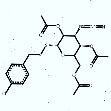 CC(=O)OCC1O[C@H](SCCc2ccc(Cl)cc2)C(OC(C)=O)[C@@H](N=[N+]=[N-])[C@H]1OC(C)=O